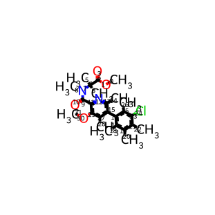 COC(=O)C(C)(C)N(C)C(=O)c1nc(C)c(-c2c(C)c(C)c(C)c(Cl)c2C)c(C)c1OC